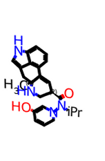 CC(C)N(C(=O)[C@@H]1C=C2c3cccc4[nH]cc(c34)C[C@@]2(C)NC1)N1C=C(O)C=CC1